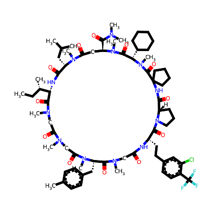 CC[C@H](C)[C@@H]1NC(=O)[C@H](CC(C)C)N(C)C(=O)C[C@@H](C(=O)N(C)C)N(C)C(=O)[C@H](C2CCCCC2)N(C)C(=O)C2(CCCC2)NC(=O)[C@@H]2CCCN2C(=O)[C@H](CCc2ccc(C(F)(F)F)c(Cl)c2)NC(=O)CN(C)C(=O)[C@H](Cc2ccc(C)cc2)N(C)C(=O)CN(C)C(=O)CN(C)C1=O